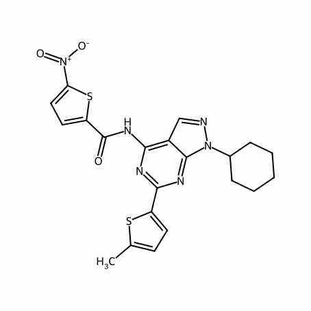 Cc1ccc(-c2nc(NC(=O)c3ccc([N+](=O)[O-])s3)c3cnn(C4CCCCC4)c3n2)s1